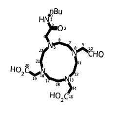 CCCCNC(=O)CN1CCN(CC=O)CCN(CC(=O)O)CCN(CC(=O)O)CC1